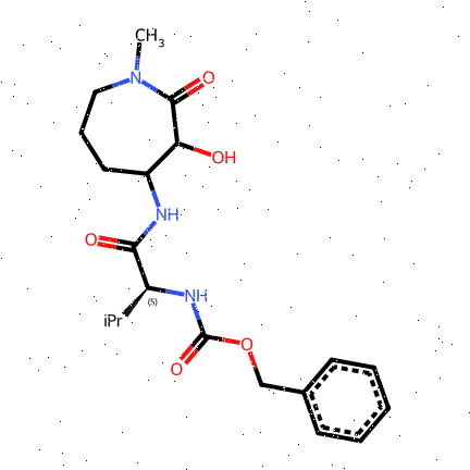 CC(C)[C@H](NC(=O)OCc1ccccc1)C(=O)NC1CCCN(C)C(=O)C1O